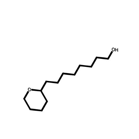 OCCCCCCCCC1CCCCO1